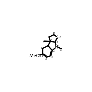 COC1=CC=C2C(C1)C1(C)CCSC1N2C